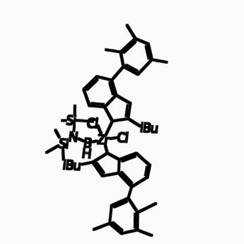 CCC(C)C1=Cc2c(-c3cc(C)cc(C)c3C)cccc2[CH]1[Zr]([Cl])([Cl])([BH]N([Si](C)(C)C)[Si](C)(C)C)[CH]1C(C(C)CC)=Cc2c(-c3cc(C)cc(C)c3C)cccc21